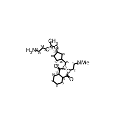 CNCCOC(=O)C1CCCCC1C(=O)OCC1CCC(OC(C)OCCN)C1